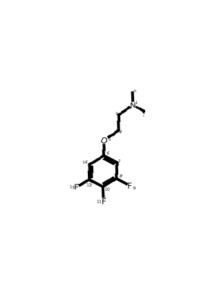 CN(C)CCOc1cc(F)c(F)c(F)c1